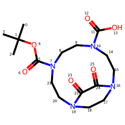 CC(C)(C)OC(=O)N1CCN(C(=O)O)CCN2CCN(CC1)C(=O)C2=O